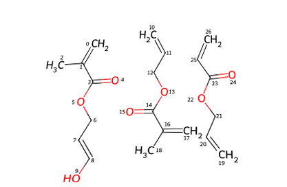 C=C(C)C(=O)OCC=CO.C=CCOC(=O)C(=C)C.C=CCOC(=O)C=C